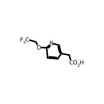 O=C(O)Cc1ccc(OCC(F)(F)F)nc1